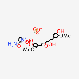 COc1cc(/C=C/C(O)=C/C(=O)/C=C/c2ccc(OC(=O)OC[n+]3cccc(C(N)=O)c3)c(OC)c2)ccc1O.CS(=O)(=O)[O-]